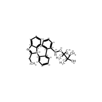 CCc1nc2ccccc2n1-c1ccccc1-c1ccccc1BOC(C)(C)C(C)(C)O